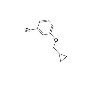 CC(C)c1cccc(OCC2CC2)c1